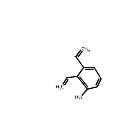 C=[C]c1cccc(O)c1C=C